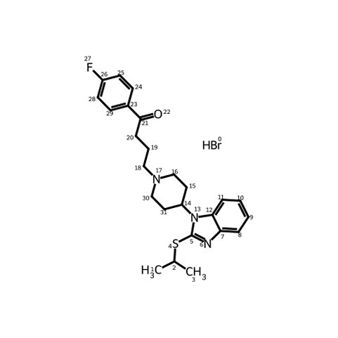 Br.CC(C)Sc1nc2ccccc2n1C1CCN(CCCC(=O)c2ccc(F)cc2)CC1